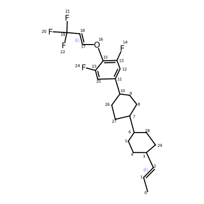 C/C=C/C1CCC(C2CCC(c3cc(F)c(O/C=C/C(F)(F)F)c(F)c3)CC2)CC1